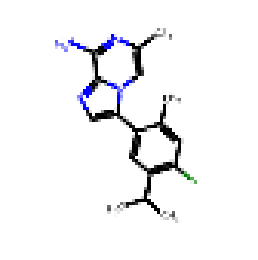 Cc1cc(F)c(C(C)C(F)(F)F)cc1-c1cnc2c(N)nc(C(F)(F)F)cn12